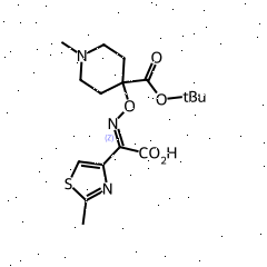 Cc1nc(/C(=N/OC2(C(=O)OC(C)(C)C)CCN(C)CC2)C(=O)O)cs1